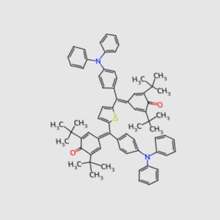 CC(C)(C)C1=CC(=C(c2ccc(N(c3ccccc3)c3ccccc3)cc2)c2ccc(C(=C3C=C(C(C)(C)C)C(=O)C(C(C)(C)C)=C3)c3ccc(N(c4ccccc4)c4ccccc4)cc3)s2)C=C(C(C)(C)C)C1=O